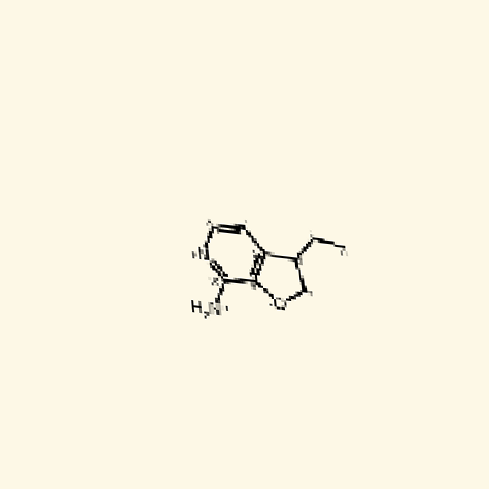 CCC1COc2c1ccnc2N